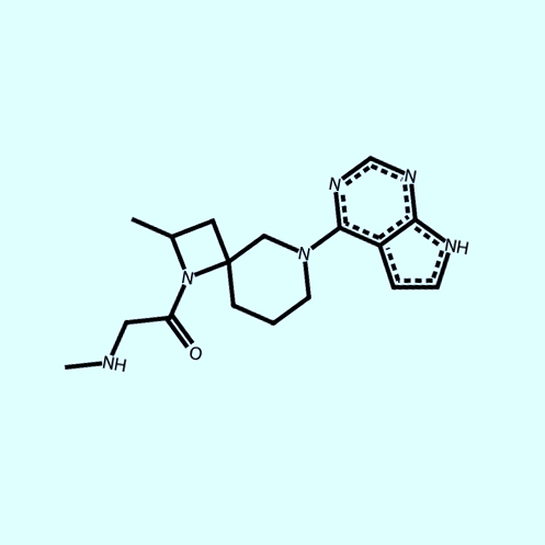 CNCC(=O)N1C(C)CC12CCCN(c1ncnc3[nH]ccc13)C2